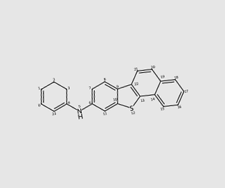 C1=CCCC(Nc2ccc3c(c2)sc2c4ccccc4ccc32)=C1